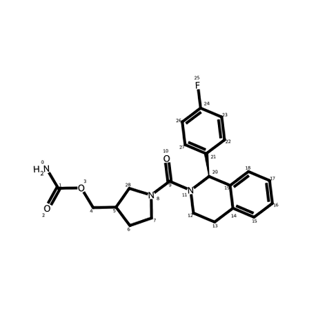 NC(=O)OCC1CCN(C(=O)N2CCc3ccccc3[C@@H]2c2ccc(F)cc2)C1